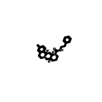 Cc1ccc2c(c1)CCN1C[C@@H]3CCCN(C(=O)NCCc4ccccc4)[C@@H]3C[C@H]21